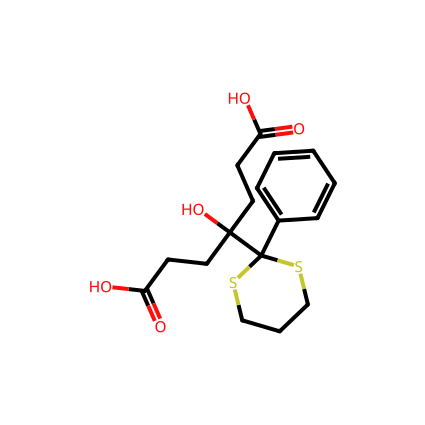 O=C(O)CCC(O)(CCC(=O)O)C1(c2ccccc2)SCCCS1